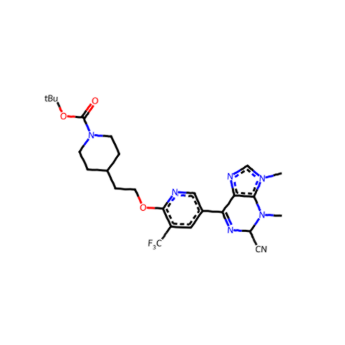 CN1c2c(ncn2C)C(c2cnc(OCCC3CCN(C(=O)OC(C)(C)C)CC3)c(C(F)(F)F)c2)=NC1C#N